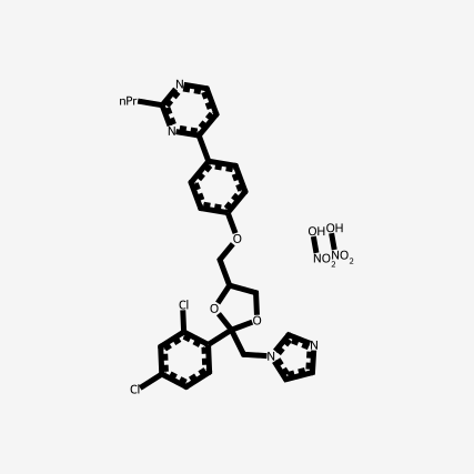 CCCc1nccc(-c2ccc(OCC3COC(Cn4ccnc4)(c4ccc(Cl)cc4Cl)O3)cc2)n1.O=[N+]([O-])O.O=[N+]([O-])O